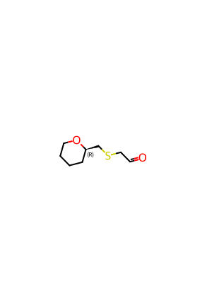 O=CCSC[C@H]1CCCCO1